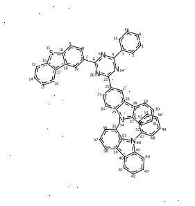 c1ccc(-c2nc(-c3ccc4sc5ccccc5c4c3)nc(-c3ccc4c(c3)c3ccccc3n4-c3cccc4c5ccccc5n(-c5ccccc5)c34)n2)cc1